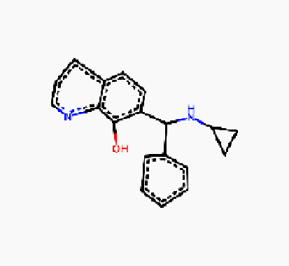 Oc1c(C(NC2CC2)c2ccccc2)ccc2cccnc12